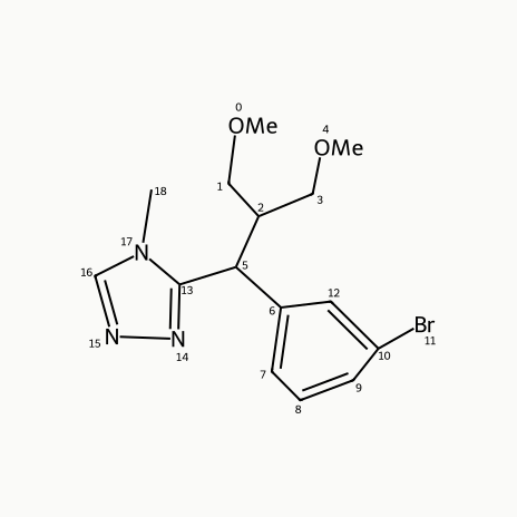 COCC(COC)C(c1cccc(Br)c1)c1nncn1C